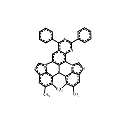 Cc1cc2ncn3c2c(c1C)B1c2c-3cc3c(-c4ccccc4)nc(-c4ccccc4)nc3c2-n2cnc3cc(C)c(C)c1c32